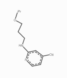 CC(C)OCCCNc1cc(C#N)ccn1